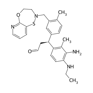 CCNc1ccc([C@@H](CC=O)c2ccc(C)c(CN3CCOc4ncccc4S3)c2)c(C)c1N